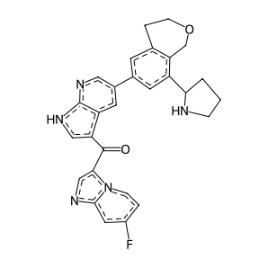 O=C(c1c[nH]c2ncc(-c3cc4c(c(C5CCCN5)c3)COCC4)cc12)c1cnc2cc(F)ccn12